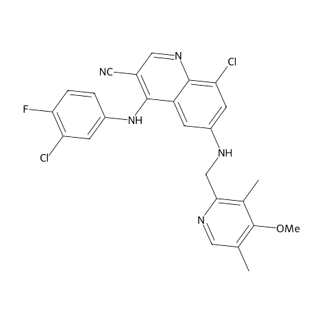 COc1c(C)cnc(CNc2cc(Cl)c3ncc(C#N)c(Nc4ccc(F)c(Cl)c4)c3c2)c1C